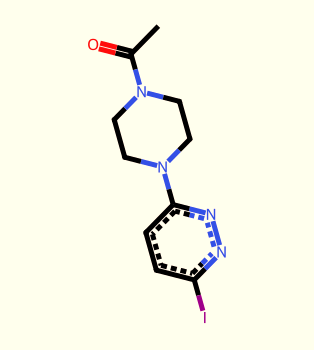 CC(=O)N1CCN(c2ccc(I)nn2)CC1